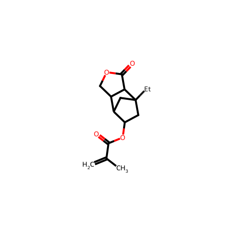 C=C(C)C(=O)OC1CC2(CC)CC1C1COC(=O)C12